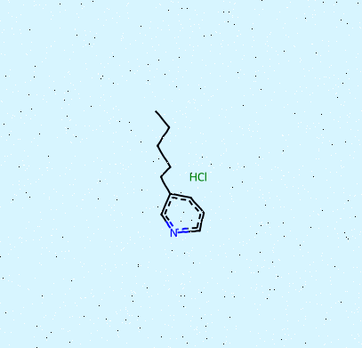 CCCCCc1cccnc1.Cl